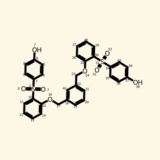 O=S(=O)(c1ccc(O)cc1)c1ccccc1OCc1cccc(COc2ccccc2S(=O)(=O)c2ccc(O)cc2)c1